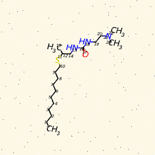 CCCCCCCCCCCSC(C)CNC(=O)NCCN(C)C